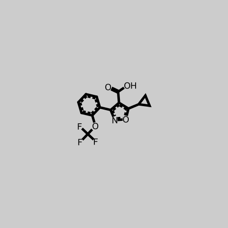 O=C(O)c1c(-c2ccccc2OC(F)(F)F)noc1C1CC1